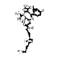 CC(=N)N1C(=N)[C@H](CC(=O)NCC#Cc2cnc(C#CCN)[nH]2)N=C(c2ccc(Cl)cc2)c2c1sc(C)c2C